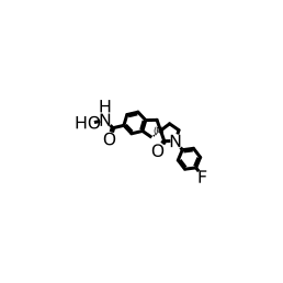 O=C(NO)c1ccc2c(c1)C[C@@]1(CCN(c3ccc(F)cc3)C1=O)C2